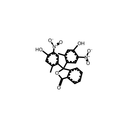 Cc1cc(O)c([N+](=O)[O-])cc1C1(c2cc([N+](=O)[O-])c(O)cc2C)OC(=O)c2ccccc21